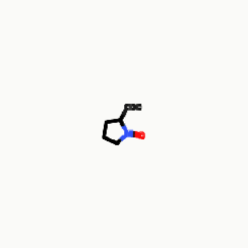 O=C([O-])C1CCC[N+]1=O